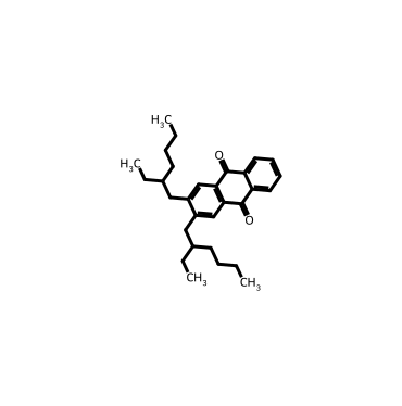 CCCCC(CC)Cc1cc2c(cc1CC(CC)CCCC)C(=O)c1ccccc1C2=O